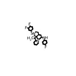 C=C(c1ccccn1)C12CC=C(Nc3ccc(F)cc3)C=C1CCN(Sc1ccc(F)c(F)c1)C2